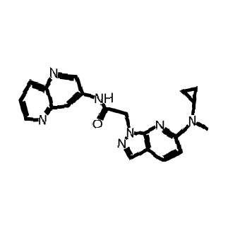 CN(c1ccc2cnn(CC(=O)Nc3cnc4cccnc4c3)c2n1)C1CC1